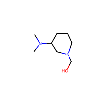 CN(C)C1CCCN(CO)C1